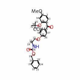 COc1ccc(C(=O)c2ccc(OC[C@@H](C)NC(=O)OCc3ccccc3)cc2)c(OC(C)(C)C(=O)O)c1